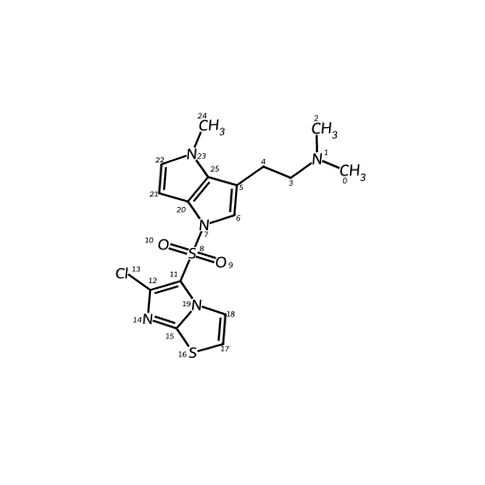 CN(C)CCc1cn(S(=O)(=O)c2c(Cl)nc3sccn23)c2ccn(C)c12